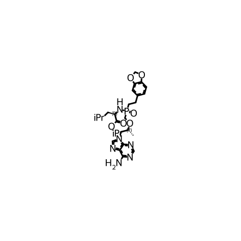 CC(C)C[C@@H](NP(=O)(CCc1ccc2c(c1)OCO2)CO[C@H](C)Cn1cnc2c(N)ncnc21)C(=O)OC(C)C